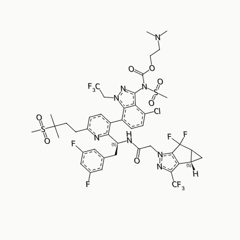 CN(C)CCOC(=O)N(c1nn(CC(F)(F)F)c2c(-c3ccc(CCC(C)(C)S(C)(=O)=O)nc3[C@H](Cc3cc(F)cc(F)c3)NC(=O)Cn3nc(C(F)(F)F)c4c3C(F)(F)C3C[C@H]43)ccc(Cl)c12)S(C)(=O)=O